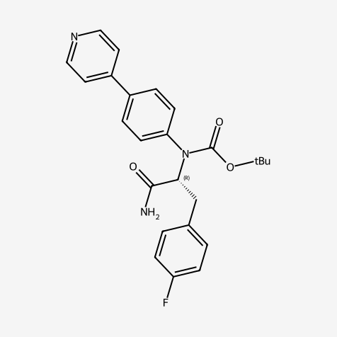 CC(C)(C)OC(=O)N(c1ccc(-c2ccncc2)cc1)[C@H](Cc1ccc(F)cc1)C(N)=O